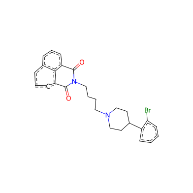 O=C1c2cccc3cccc(c23)C(=O)N1CCCCN1CCC(c2ccccc2Br)CC1